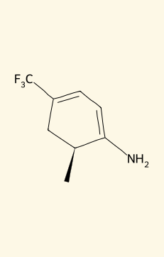 C[C@H]1CC(C(F)(F)F)=CC=C1N